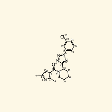 Cc1nc(C)c(C(=O)N2CCCCC2c2nnn(-c3cccc(Cl)c3)n2)s1